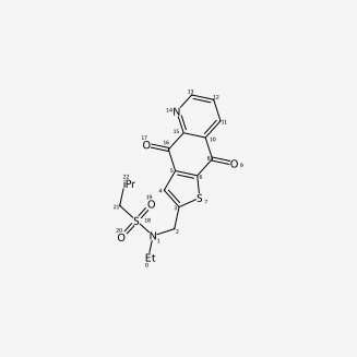 CCN(Cc1cc2c(s1)C(=O)c1cccnc1C2=O)S(=O)(=O)CC(C)C